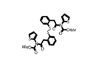 COC(=O)N(C(=O)Cc1ccccc1SSc1ccccc1CC(=O)N(C(=O)OC)c1cccs1)c1cccs1